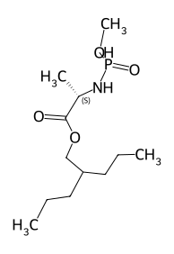 CCCC(CCC)COC(=O)[C@H](C)N[PH](=O)OC